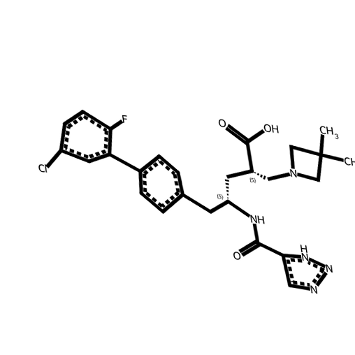 CC1(C)CN(C[C@H](C[C@@H](Cc2ccc(-c3cc(Cl)ccc3F)cc2)NC(=O)c2cnn[nH]2)C(=O)O)C1